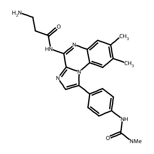 CNC(=O)Nc1ccc(-c2cnc3c(NC(=O)CCN)nc4cc(C)c(C)cc4n23)cc1